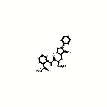 CCOC(=O)C(CC1CCN(c2ccccc2)C1=O)C(=O)Nc1ccccc1C(=O)OC